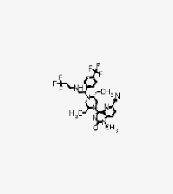 CC[C@H]1CN(C(CNCCC(F)(F)F)c2ccc(C(F)(F)F)cc2)[C@H](CC)CN1c1nc(=O)n(C)c2ccc(C#N)nc12